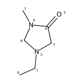 CCN1CC(=O)N(C)C1